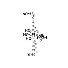 CCCCCCCC/C=C\CCCCCCCC(=O)OC(COCCCCCCCCCCCCCCCC)COP(=O)(O)O.OCC(O)CO